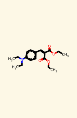 CCOC(=O)C(=Cc1ccc(N(CC)CC)cc1)C(=O)OCC